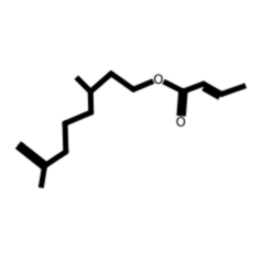 C=C(C)CCCC(C)CCOC(=O)/C=C/C